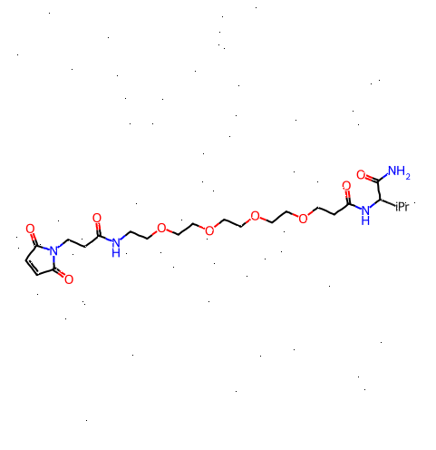 CC(C)C(NC(=O)CCOCCOCCOCCOCCNC(=O)CCN1C(=O)C=CC1=O)C(N)=O